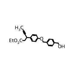 CC#CC(CC(=O)OCC)c1ccc(OCc2ccc(CO)cc2)cc1